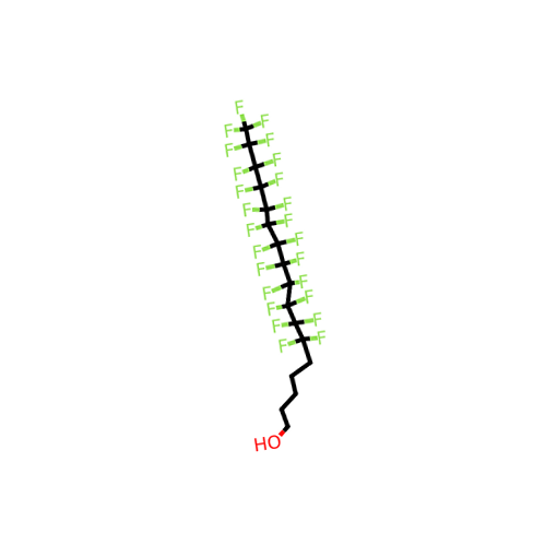 OCCCCCC(F)(F)C(F)(F)C(F)(F)C(F)(F)C(F)(F)C(F)(F)C(F)(F)C(F)(F)C(F)(F)C(F)(F)C(F)(F)C(F)(F)F